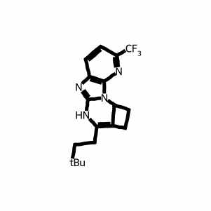 CC(C)(C)CCC1=C2CCC2n2c(nc3ccc(C(F)(F)F)nc32)N1